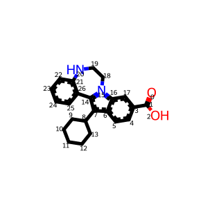 O=C(O)c1ccc2c(C3CCCCC3)c3n(c2c1)CCNc1ccccc1-3